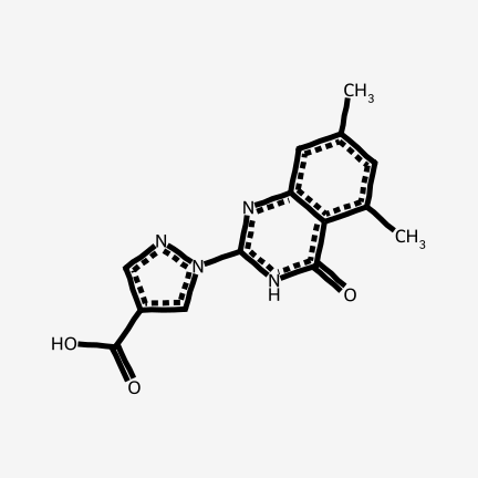 Cc1cc(C)c2c(=O)[nH]c(-n3cc(C(=O)O)cn3)nc2c1